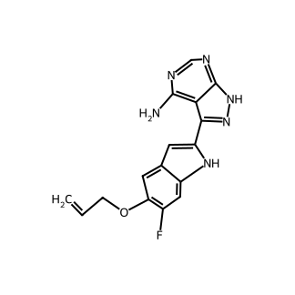 C=CCOc1cc2cc(-c3n[nH]c4ncnc(N)c34)[nH]c2cc1F